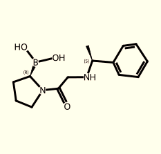 C[C@H](NCC(=O)N1CCC[C@H]1B(O)O)c1ccccc1